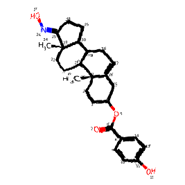 C[C@]12CCC(OC(=O)c3ccc(O)cc3)CC1=CCC1C2CC[C@]2(C)/C(=N/O)CCC12